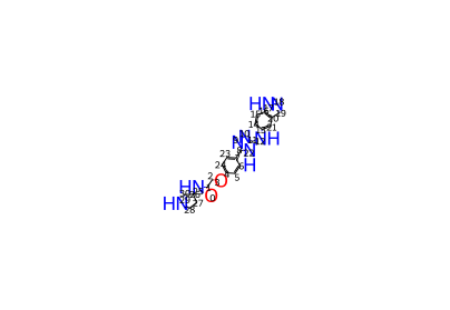 O=C(COc1ccc(-c2nnc(Nc3ccc4[nH]ncc4c3)[nH]2)cc1)N[C@@H]1CCNC1